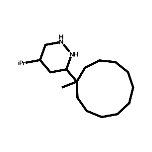 CC(C)C1CNNC(C2(C)CCCCCCCCCC2)C1